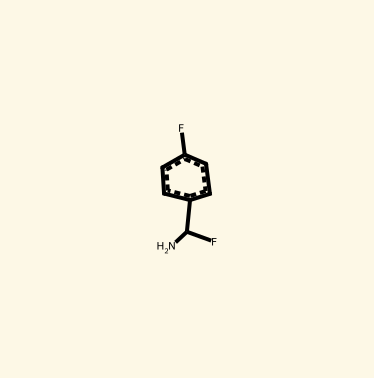 NC(F)c1ccc(F)cc1